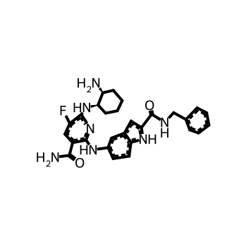 NC(=O)c1cc(F)c(N[C@@H]2CCCC[C@@H]2N)nc1Nc1ccc2[nH]c(C(=O)NCc3ccccc3)cc2c1